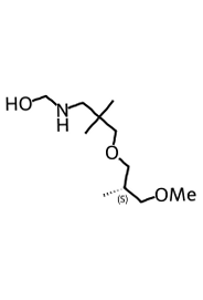 COC[C@H](C)COCC(C)(C)CNCO